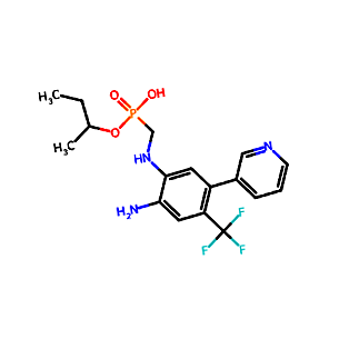 CCC(C)OP(=O)(O)CNc1cc(-c2cccnc2)c(C(F)(F)F)cc1N